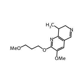 COCCCOc1nc2c(cc1OC)C=NCC2C